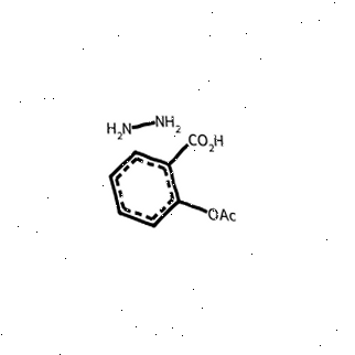 CC(=O)Oc1ccccc1C(=O)O.NN